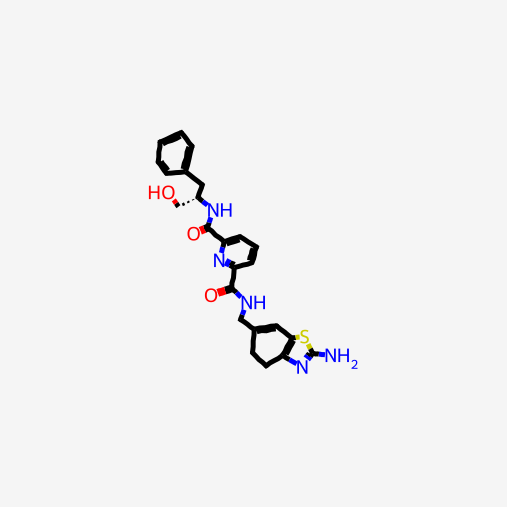 Nc1nc2c(s1)C=C(CNC(=O)c1cccc(C(=O)N[C@H](CO)Cc3ccccc3)n1)CC2